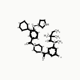 CCC(C)(C)C(=O)N(C)c1cc(F)cc(C(=O)N2CCN(C(=O)c3ccc(O[C@H]4CCNC4)c(C4CCCCC4)c3)CC2)c1